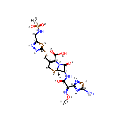 CO/N=C(/C(=O)NC1C(=O)N2C(C(=O)O)=C(CSc3nnc(CNS(C)(=O)=O)s3)CS[C@H]12)c1nsc(N)n1